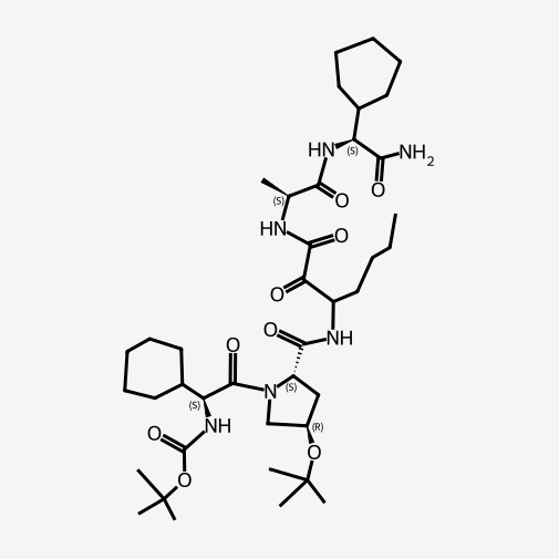 CCCCC(NC(=O)[C@@H]1C[C@@H](OC(C)(C)C)CN1C(=O)[C@@H](NC(=O)OC(C)(C)C)C1CCCCC1)C(=O)C(=O)N[C@@H](C)C(=O)N[C@H](C(N)=O)C1CCCCC1